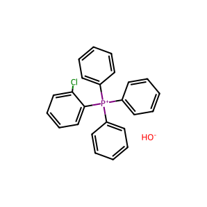 Clc1ccccc1[P+](c1ccccc1)(c1ccccc1)c1ccccc1.[OH-]